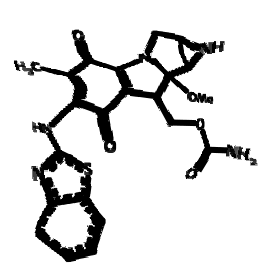 COC12C(COC(N)=O)C3=C(C(=O)C(C)=C(Nc4nc5ccccc5s4)C3=O)N1CC1NC12